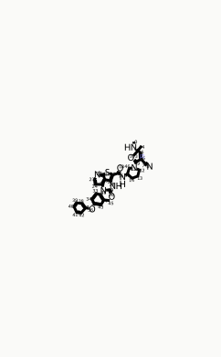 CNC(C)(C)/C=C(/C#N)C(=O)N1CCCC(NC(=O)c2sc3nccc4c3c2NC(=O)N4c2ccc(Oc3ccccc3)cc2C)C1